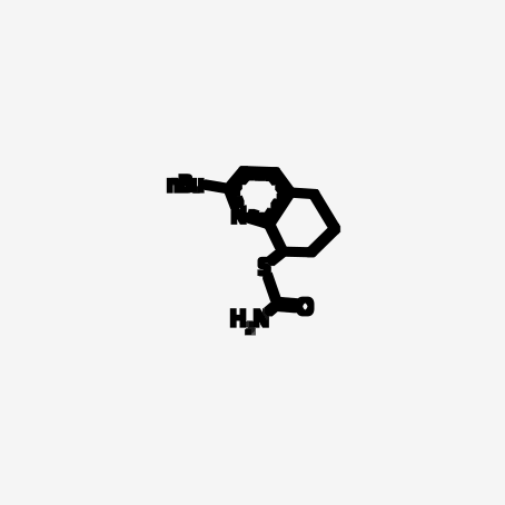 CCCCc1ccc2c(n1)C(SC(N)=O)CCC2